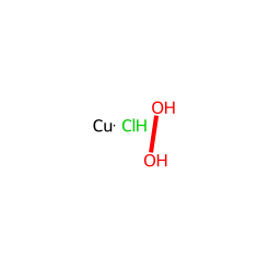 Cl.OO.[Cu]